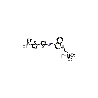 CCN(CC)c1ccc(-c2ccc(/C=C/c3cc[n+](CCC[N+](CC)(CC)CC)c4ccccc34)s2)s1